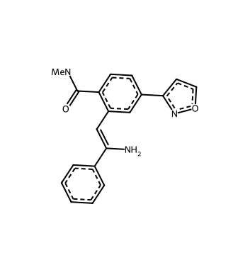 CNC(=O)c1ccc(-c2ccon2)cc1C=C(N)c1ccccc1